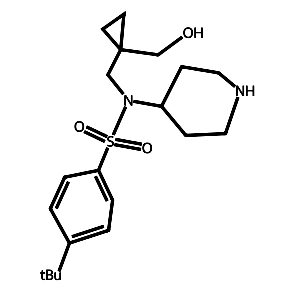 CC(C)(C)c1ccc(S(=O)(=O)N(CC2(CO)CC2)C2CCNCC2)cc1